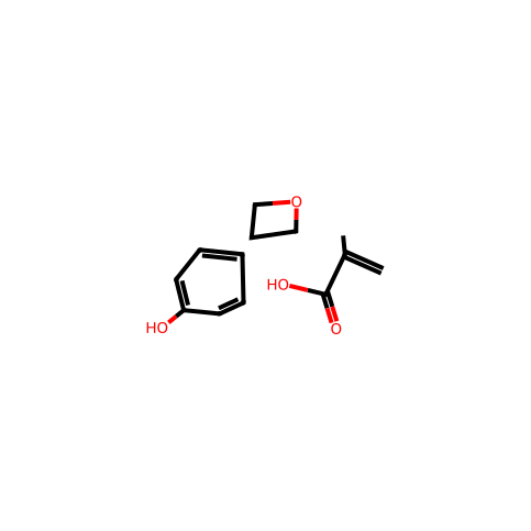 C1COC1.C=C(C)C(=O)O.Oc1ccccc1